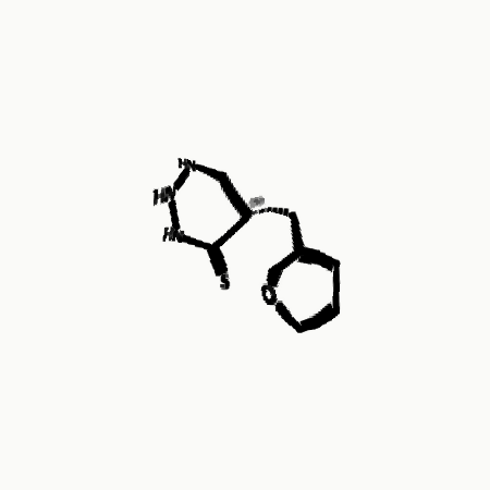 S=C1NNNC[C@@H]1Cc1ccco1